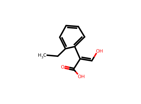 CCc1ccccc1/C(=C\O)C(=O)O